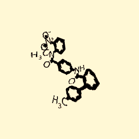 Cc1ccc(-c2ccccc2C(=O)Nc2ccc(C(=O)N(C)c3ccccc3[N+](=O)[O-])cc2)cc1